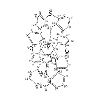 c1ccc2c(c1)Oc1ccccc1C21c2cc(N3c4ccccc4Sc4ccccc43)oc2C2(c3ccccc3Oc3ccccc32)c2cc(N3c4ccccc4Sc4ccccc43)oc21